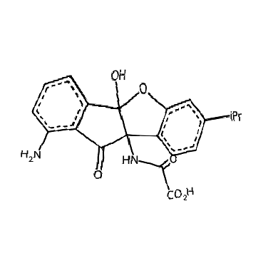 CC(C)c1ccc2c(c1)OC1(O)c3cccc(N)c3C(=O)C21NC(=O)C(=O)O